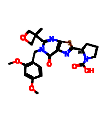 COc1ccc(Cn2c(C3(C)COC3)nc3sc([C@H]4CCCN4C(=O)O)nc3c2=O)c(OC)c1